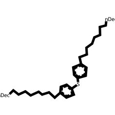 CCCCCCCCCCCCCCCCCCc1ccc(Sc2ccc(CCCCCCCCCCCCCCCCCC)cc2)cc1